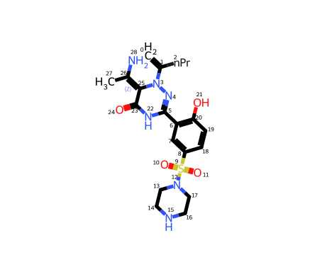 C=C(CCC)N1N=C(c2cc(S(=O)(=O)N3CCNCC3)ccc2O)NC(=O)/C1=C(\C)N